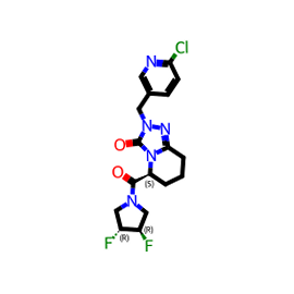 O=C([C@@H]1CCCc2nn(Cc3ccc(Cl)nc3)c(=O)n21)N1C[C@@H](F)[C@H](F)C1